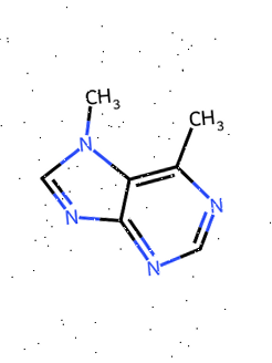 Cc1ncnc2ncn(C)c12